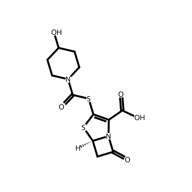 O=C(O)C1=C(SC(=O)N2CCC(O)CC2)S[C@@H]2CC(=O)N12